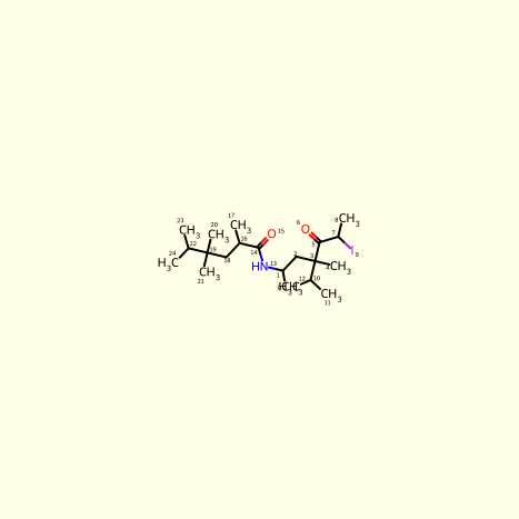 CC(CC(C)(C(=O)C(C)I)C(C)C)NC(=O)C(C)CC(C)(C)C(C)C